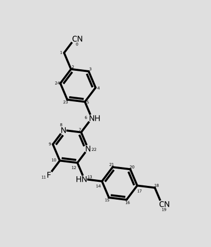 N#CCc1ccc(Nc2ncc(F)c(Nc3ccc(CC#N)cc3)n2)cc1